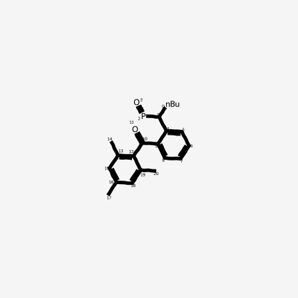 CCCCC(P=O)c1ccccc1C(=O)c1c(C)cc(C)cc1C